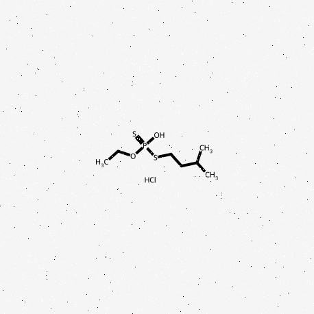 CCOP(O)(=S)SCCC(C)C.Cl